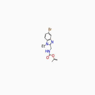 C=C(C)OC(=O)NCc1nc2cc(Br)ccc2n1CC